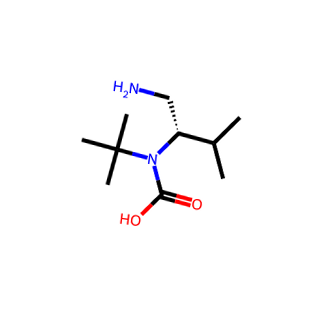 CC(C)[C@@H](CN)N(C(=O)O)C(C)(C)C